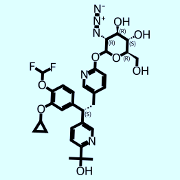 CC(C)(O)c1ccc([C@@H](Cc2ccc(OC3O[C@H](CO)[C@@H](O)[C@H](O)[C@H]3N=[N+]=[N-])nc2)c2ccc(OC(F)F)c(OC3CC3)c2)cn1